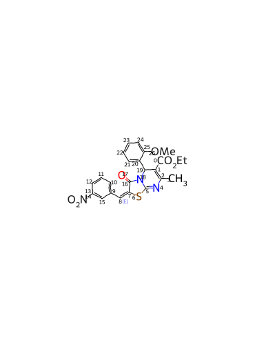 CCOC(=O)C1=C(C)N=c2s/c(=C/c3cccc([N+](=O)[O-])c3)c(=O)n2C1c1ccccc1OC